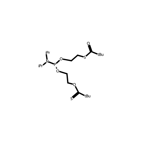 CC(C)N(C(C)C)[P@@](OCCOC(=S)C(C)(C)C)OCCSC(=O)C(C)(C)C